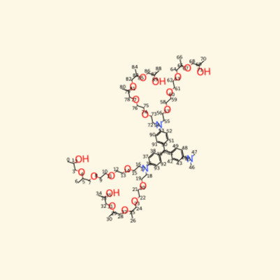 CC(O)COC(C)COCCOCCOCCN(CCOCCOCC(C)OCC(C)OCC(C)O)c1ccc(C(c2ccc(N(C)C)cc2)c2ccc(N(CCOCCOCCOCC(C)OCC(C)O)CCOCCOCC(C)OCC(C)OCC(C)O)cc2)cc1